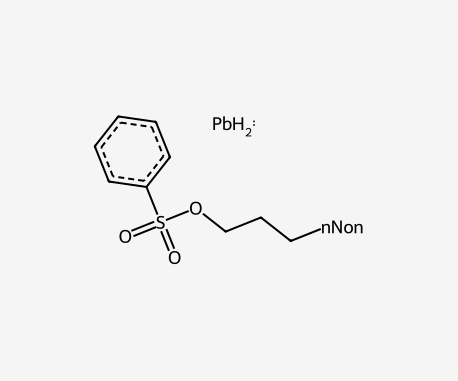 CCCCCCCCCCCCOS(=O)(=O)c1ccccc1.[PbH2]